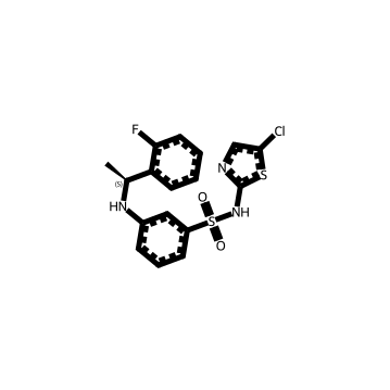 C[C@H](Nc1cccc(S(=O)(=O)Nc2ncc(Cl)s2)c1)c1ccccc1F